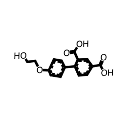 O=C(O)c1ccc(-c2ccc(OCCO)cc2)c(C(=O)O)c1